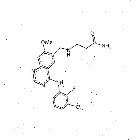 COc1cc2ncnc(Nc3cccc(Cl)c3F)c2cc1CNCCC(N)=O